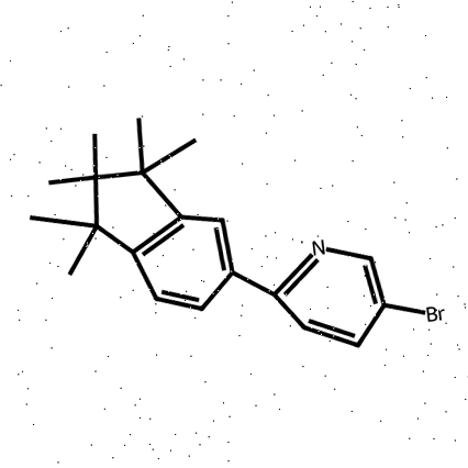 CC1(C)c2ccc(-c3ccc(Br)cn3)cc2C(C)(C)C1(C)C